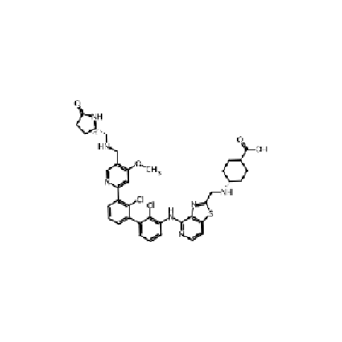 COc1cc(-c2cccc(-c3cccc(Nc4nccc5sc(CN[C@H]6CC[C@H](C(=O)O)CC6)nc45)c3Cl)c2Cl)ncc1CNC[C@@H]1CCC(=O)N1